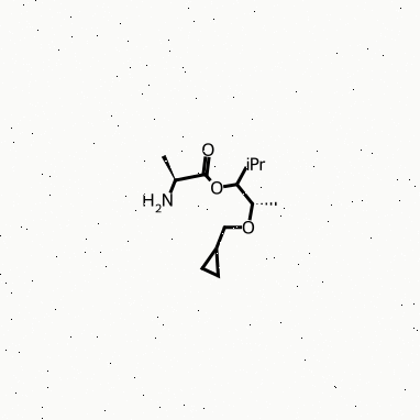 CC(C)C(OC(=O)[C@H](C)N)[C@H](C)OCC1CC1